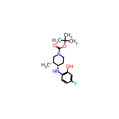 C[C@@H]1CN(C(=O)OC(C)(C)C)CC[C@H]1Nc1ccc(F)cc1O